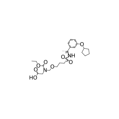 CCOC(=O)N(COCCCS(=O)(=O)N[C@H](C)c1cccc(OC2CCCC2)c1)CC(=O)O